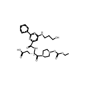 CCOC(=O)ON1CCN(C(=O)[C@H](CCC(=O)O)NC(=O)c2cc(NCCCO)nc(-c3ccccc3)n2)CC1